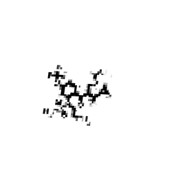 CCCN(c1cc(OC(F)(F)F)ccc1C(=O)C(=COCC)C(=O)C1CC1)S(C)(=O)=O